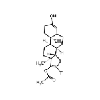 CC(=O)OC1=C(F)C[C@H]2[C@@H]3CCC4C=C(O)CC[C@]4(C)[C@@H]3CC[C@]12C